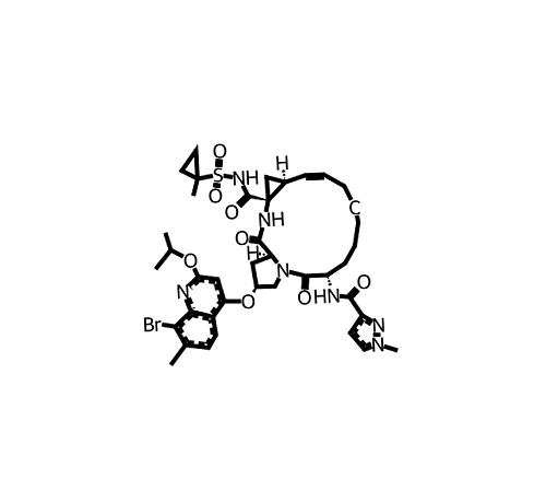 Cc1ccc2c(O[C@@H]3C[C@H]4C(=O)N[C@]5(C(=O)NS(=O)(=O)C6(C)CC6)C[C@H]5C=CCCCCC[C@H](NC(=O)c5ccn(C)n5)C(=O)N4C3)cc(OC(C)C)nc2c1Br